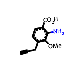 C#CCc1ccc(C(=O)O)c(N)c1OC